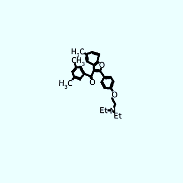 CCN(CC)CCOc1ccc(-c2oc3ccc(C)cc3c2C(=O)c2cc(C)cc(C)c2)cc1